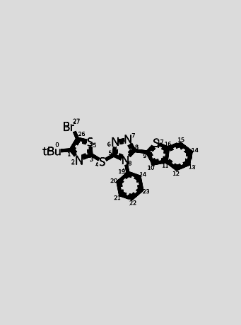 CC(C)(C)c1nc(Sc2nnc(-c3cc4ccccc4s3)n2-c2ccccc2)sc1Br